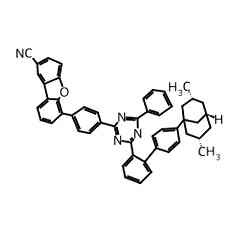 C[C@@H]1C[C@@H]2C[C@H](C)CC(c3ccc(-c4ccccc4-c4nc(-c5ccccc5)nc(-c5ccc(-c6cccc7c6oc6ccc(C#N)cc67)cc5)n4)cc3)(C1)C2